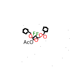 CC(=O)OC1O[C@H](COC(=O)c2ccccc2)C(F)(F)[C@@H]1OCc1ccccc1